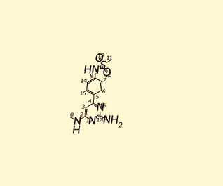 CNc1cc(-c2ccc(NS(C)(=O)=O)cc2)nc(N)n1